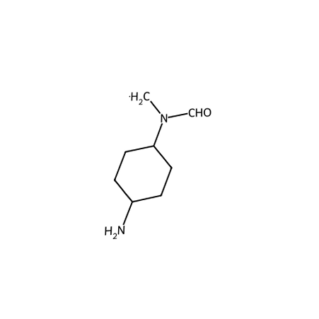 [CH2]N(C=O)C1CCC(N)CC1